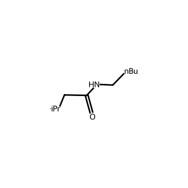 CCCCCNC(=O)C[C](C)C